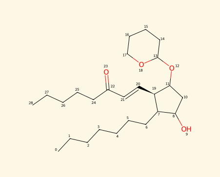 CCCCCCCC1C(O)CC(OC2CCCCO2)[C@@H]1/C=C/C(=O)CCCCC